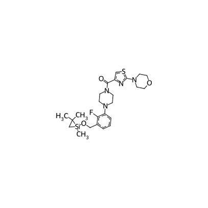 CC1(C)C[Si]1(C)OCc1cccc(N2CCN(C(=O)c3csc(N4CCOCC4)n3)CC2)c1F